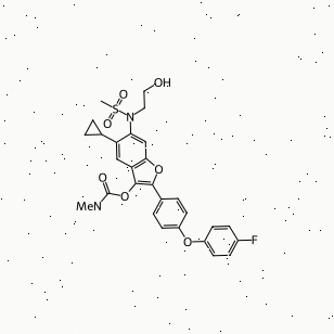 CNC(=O)Oc1c(-c2ccc(Oc3ccc(F)cc3)cc2)oc2cc(N(CCO)S(C)(=O)=O)c(C3CC3)cc12